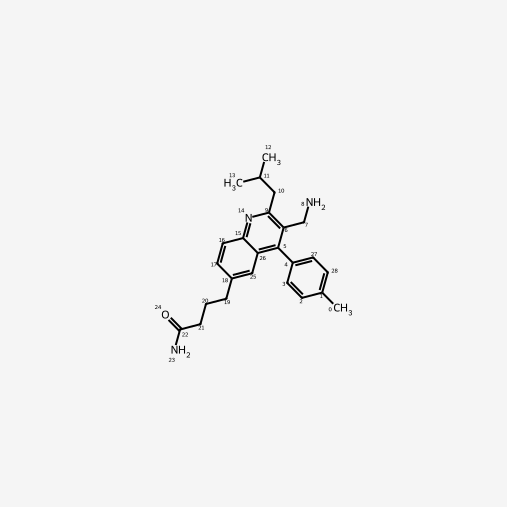 Cc1ccc(-c2c(CN)c(CC(C)C)nc3ccc(CCCC(N)=O)cc23)cc1